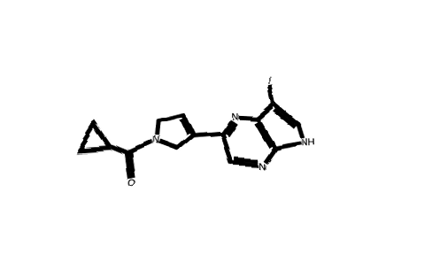 O=C(C1CC1)N1CC=C(c2cnc3[nH]cc(I)c3n2)C1